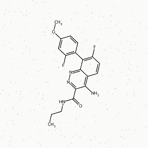 CCCNC(=O)c1nnc2c(-c3ccc(OC)cc3F)c(F)ccc2c1N